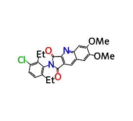 CCc1ccc(Cl)c(CC)c1N1C(=O)c2cc3cc(OC)c(OC)cc3nc2C1=O